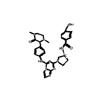 CN1CCN(C)C(c2ccc(Nc3nc(N4CCC[C@H](NC(=O)c5ccc(C(C)(C)C)cc5)C4)nc4nccn34)cc2)C1=O